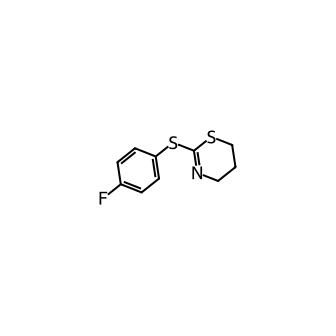 Fc1ccc(SC2=NCCCS2)cc1